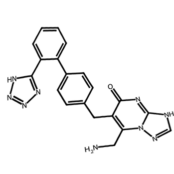 NCc1c(Cc2ccc(-c3ccccc3-c3nnn[nH]3)cc2)c(=O)nc2[nH]cnn12